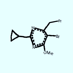 COc1nc(C2CC2)nc(CC(C)C)c1Br